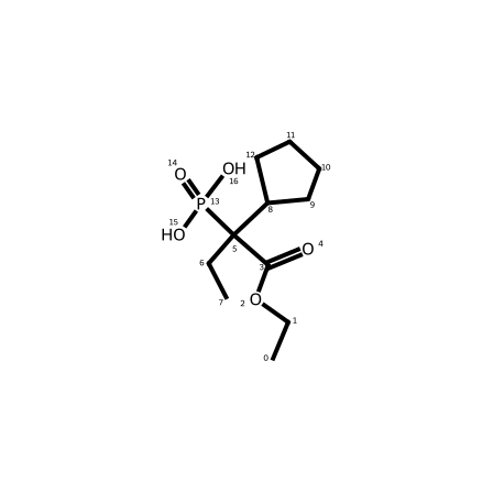 CCOC(=O)C(CC)(C1CCCC1)P(=O)(O)O